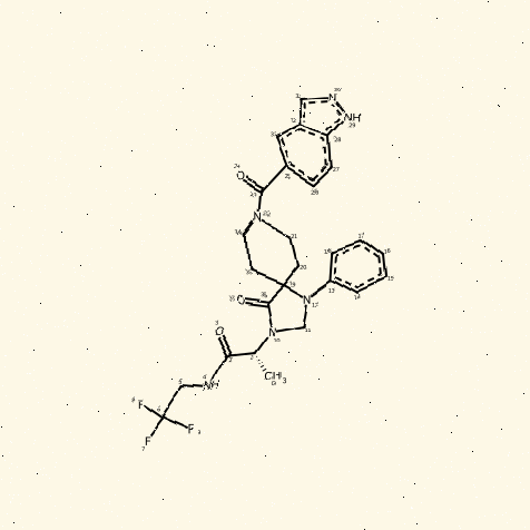 C[C@H](C(=O)NCC(F)(F)F)N1CN(c2ccccc2)C2(CCN(C(=O)c3ccc4[nH]ncc4c3)CC2)C1=O